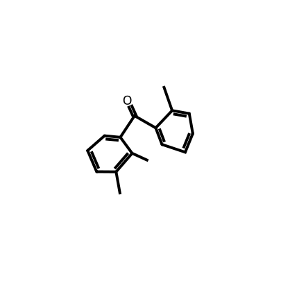 Cc1ccccc1C(=O)c1cccc(C)c1C